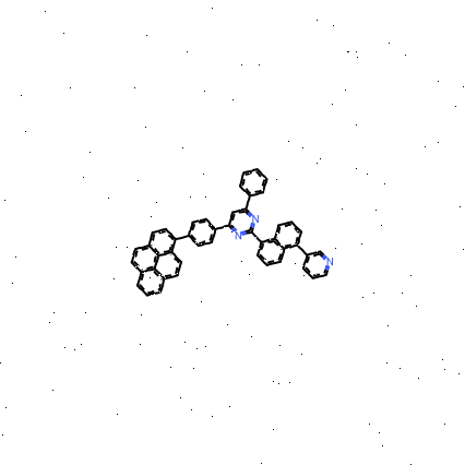 c1ccc(-c2cc(-c3ccc(-c4ccc5ccc6cccc7ccc4c5c67)cc3)nc(-c3cccc4c(-c5cccnc5)cccc34)n2)cc1